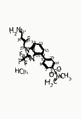 CN(C)S(=O)(=O)c1ccc(-c2cccc3c2nc(C(F)(F)F)n3C/C(F)=C/CN)cc1.Cl